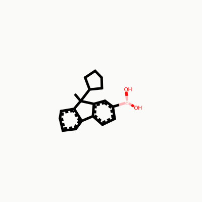 CC1(C2CCCC2)c2ccccc2-c2ccc(B(O)O)cc21